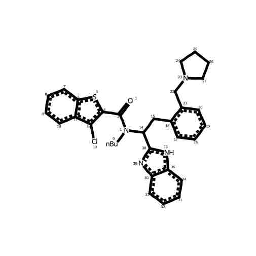 CCCCN(C(=O)c1sc2ccccc2c1Cl)C(Cc1ccccc1CN1CCCC1)c1nc2ccccc2[nH]1